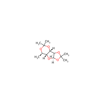 C[C@H]1OC(C)(C)O[C@@H]2[C@H]3OC(C)(C)O[C@H]3O[C@@H]21